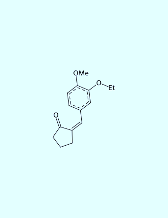 CCOc1cc(C=C2CCCC2=O)ccc1OC